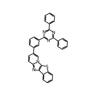 c1ccc(-c2nc(-c3ccccc3)nc(-c3cccc(-c4ccc5nc6c7ccccc7sc6n5c4)c3)n2)cc1